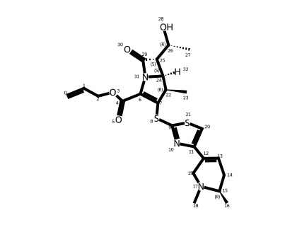 C=CCOC(=O)C1=C(Sc2nc(C3=CC[C@@H](C)N(C)C3)cs2)[C@H](C)[C@@H]2[C@@H]([C@@H](C)O)C(=O)N12